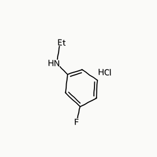 CCNc1cccc(F)c1.Cl